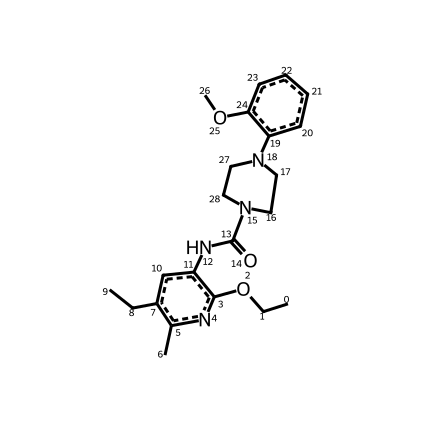 CCOc1nc(C)c(CC)cc1NC(=O)N1CCN(c2ccccc2OC)CC1